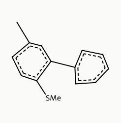 CSc1ccc(C)cc1-c1ccccc1